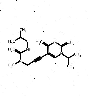 C=C1NC(=C)N(C(C)C)C=C1C#CCN(C)C(=C)NCC(C)C